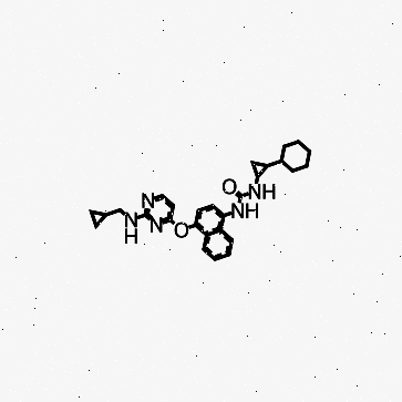 O=C(Nc1ccc(Oc2ccnc(NCC3CC3)n2)c2ccccc12)NC1CC1C1CCCCC1